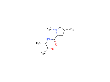 CC(=O)C(C)NC(=O)C1CC(C)CN1C